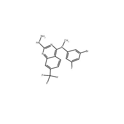 CN(c1cc(F)cc(Br)c1)c1nc(NN)nc2cc(C(F)(F)F)ccc12